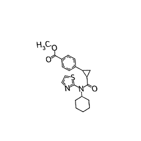 COC(=O)c1ccc(C2CC2C(=O)N(c2nccs2)C2CCCCC2)cc1